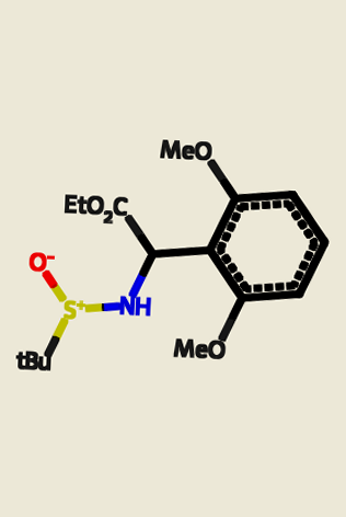 CCOC(=O)C(N[S+]([O-])C(C)(C)C)c1c(OC)cccc1OC